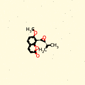 C=C(C)[C@H]1O[C@@H]1c1c(OC)ccc2ccc(=O)oc12